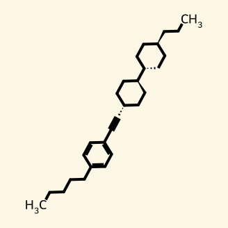 CCCCCc1ccc(C#C[C@H]2CC[C@H]([C@H]3CC[C@H](CCC)CC3)CC2)cc1